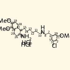 COc1cc(Cl)cc(CCNCCCCCCC2c3ccc(OC)c(OC)c3CCC2N)c1.Cl.Cl